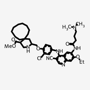 CCOc1cc2ncc(C#N)c(Nc3ccc(OCC4CC5(CCCCCCCCC5)C(C(=O)OC)CN4)c(Cl)c3)c2cc1NC(=O)CCCN(C)C